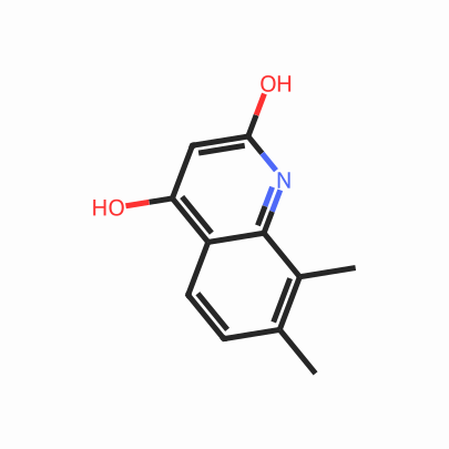 Cc1ccc2c(O)cc(O)nc2c1C